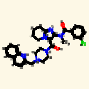 CN(C(=O)c1cccc(Cl)c1)c1nc2n(c1C(=O)N1CCN(Cc3ccc4ccccc4n3)CC1)CCCC2